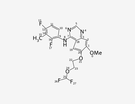 COc1cc2ncnc(Nc3ccc(F)c(C)c3F)c2cc1OCCOC(F)F